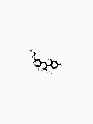 N#CCOc1cc(CC(c2ccc(Cl)cc2Cl)C(O)C(F)(F)F)ccn1